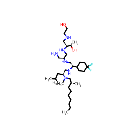 CCCCCCC[C@@H](C)CN(C)[C@H](CN[C@H](CN[C@@H](CN)CN[C@@H](CNCCO)[C@H](C)O)C1CCC(F)(F)CC1)CC(C)C